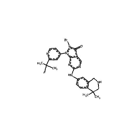 CC(C)n1c(=O)c2cnc(Nc3ccc4c(c3)CNCC4(C)C)nc2n1-c1ccnc(C(C)(C)F)c1